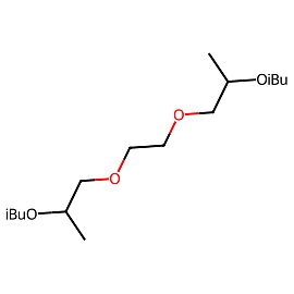 CC(C)COC(C)COCCOCC(C)OCC(C)C